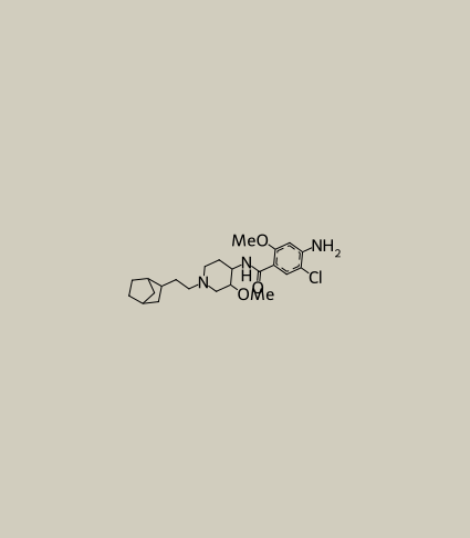 COc1cc(N)c(Cl)cc1C(=O)NC1CCN(CCC2CC3CCC2C3)CC1OC